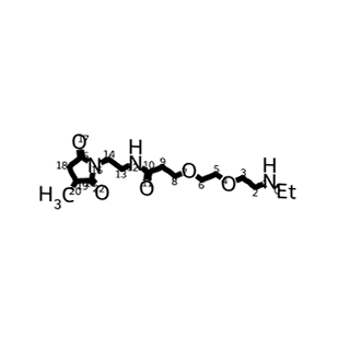 CCNCCOCCOCCC(=O)NCCN1C(=O)CC(C)C1=O